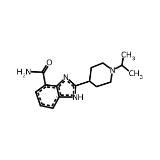 CC(C)N1CCC(c2nc3c(C(N)=O)cccc3[nH]2)CC1